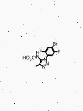 Cc1nnn(-c2cc(F)c(Br)cc2F)c1NC(=O)O